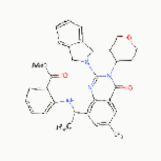 COC(=O)c1ccccc1NC(C)c1cc(C(F)(F)F)cc2c(=O)n(C3CCOCC3)c(N3Cc4ccccc4C3)nc12